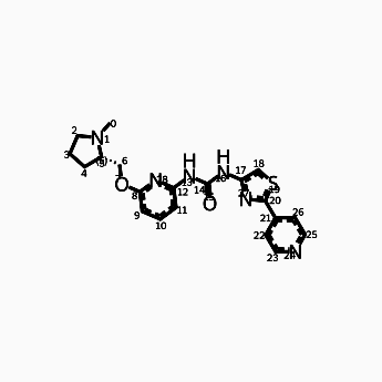 CN1CCC[C@H]1COc1cccc(NC(=O)Nc2csc(-c3ccncc3)n2)n1